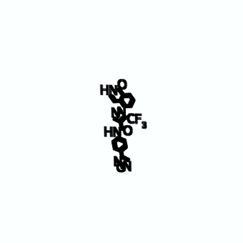 O=C(Nc1ccc(-c2cnon2)cc1)c1cnn(-c2cccc3c(=O)[nH]ccc23)c1C(F)(F)F